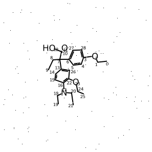 CCOc1ccc(C(CC)(C(=O)O)c2ccc(N(CC)CC)c(OCC)c2)cc1